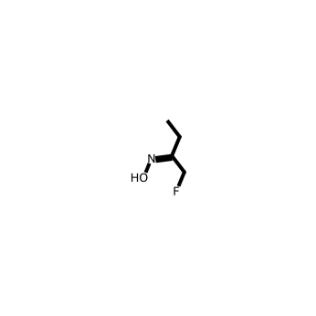 CCC(CF)=NO